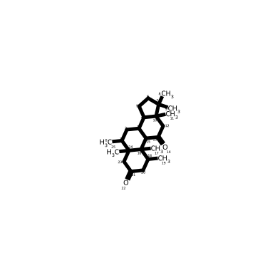 CC1CC2C3CCC(C)(C)C3(C)CC(=O)C2C2(C)C(C)CC(=O)CC12C